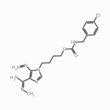 C=Nc1c(/C(N)=N\C)ncn1CCCCOC(=O)NCc1ccc(Cl)cc1